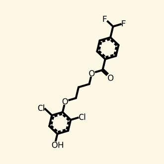 O=C(OCCCOc1c(Cl)cc(O)cc1Cl)c1ccc(C(F)F)cc1